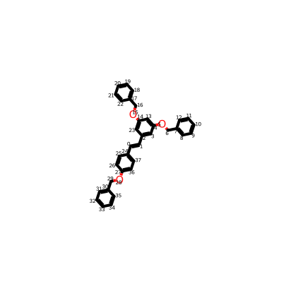 C(=Cc1cc(OCc2ccccc2)cc(OCc2ccccc2)c1)c1ccc(OCc2ccccc2)cc1